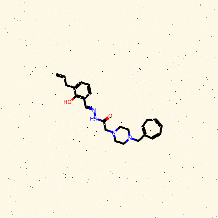 C=CCc1cccc(/C=N/NC(=O)CN2CCN(CC3=CCC=CC=C3)CC2)c1O